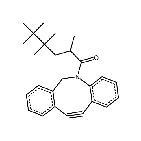 CC(CC(C)(C)C(C)(C)C)C(=O)N1Cc2ccccc2C#Cc2ccccc21